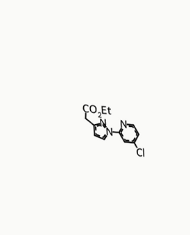 CCOC(=O)Cc1ccn(-c2cc(Cl)ccn2)n1